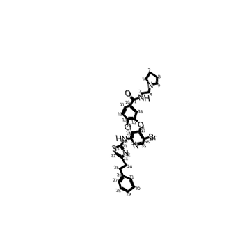 O=C(NCCN1CCCC1)c1ccc(Cl)c(Oc2cc(Nc3nc(CCc4ccccc4)cs3)ncc2Br)c1